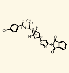 CCC(NC(=O)c1ccc(Cl)cc1)[C@H]1[C@@H]2C[C@@H](n3cc(N4C(=O)c5ccccc5C4=O)nn3)C[C@@H]21